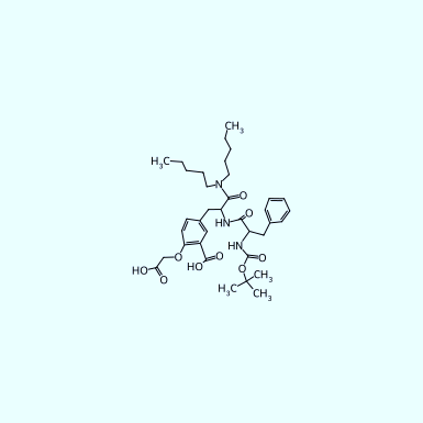 CCCCCN(CCCCC)C(=O)C(Cc1ccc(OCC(=O)O)c(C(=O)O)c1)NC(=O)C(Cc1ccccc1)NC(=O)OC(C)(C)C